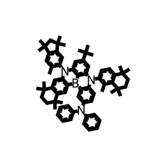 Cc1cc2c(cc1N1c3cc4c(cc3B3c5cc(N(c6ccccc6)c6ccccc6)ccc5N(c5ccc6c(c5C)C(C)(C)CCC6(C)C)c5cc(C(C)(C)C)cc1c53)C(C)(C)CCC4(C)C)C(C)(C)CC2(C)C